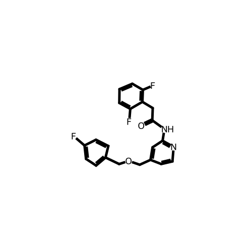 O=C(Cc1c(F)cccc1F)Nc1cc(COCc2ccc(F)cc2)ccn1